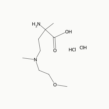 COCCN(C)CCC(C)(N)C(=O)O.Cl.Cl